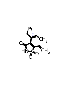 C=CC1=C(/C(=C\C)CC(C)C)C(=O)NS1(=O)=O